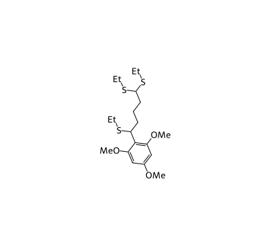 CCSC(CCCC(SCC)c1c(OC)cc(OC)cc1OC)SCC